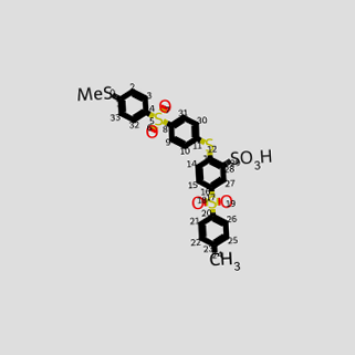 CSc1ccc(S(=O)(=O)c2ccc(Sc3ccc(S(=O)(=O)c4ccc(C)cc4)cc3S(=O)(=O)O)cc2)cc1